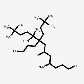 CCCCC(C)CC(O)CC(CCCC)(CCC(C)(C)C)C(N)(N)CCC(C)(C)C